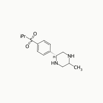 CC1CN[C@H](c2ccc(S(=O)(=O)C(C)C)cc2)CN1